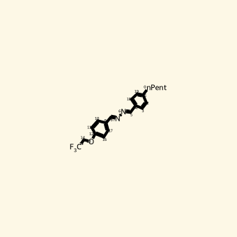 CCCCCc1ccc(/C=N/N=C/c2ccc(OCC(F)(F)F)cc2)cc1